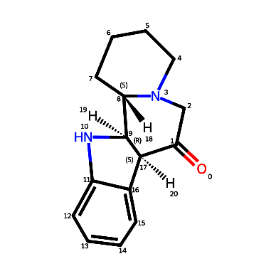 O=C1CN2CCCC[C@H]2[C@@H]2Nc3ccccc3[C@H]12